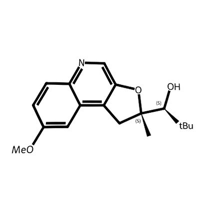 COc1ccc2ncc3c(c2c1)C[C@@](C)([C@@H](O)C(C)(C)C)O3